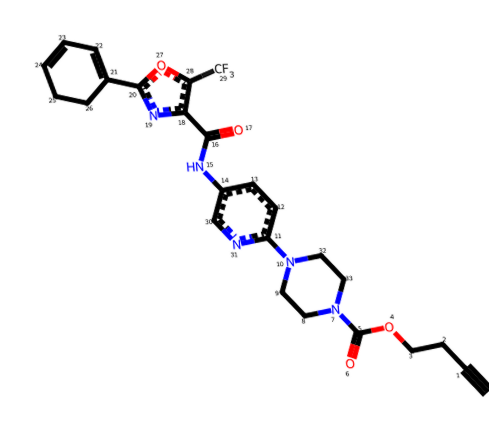 C#CCCOC(=O)N1CCN(c2ccc(NC(=O)c3nc(C4=CC=CCC4)oc3C(F)(F)F)cn2)CC1